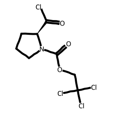 O=C(Cl)[C@@H]1CCCN1C(=O)OCC(Cl)(Cl)Cl